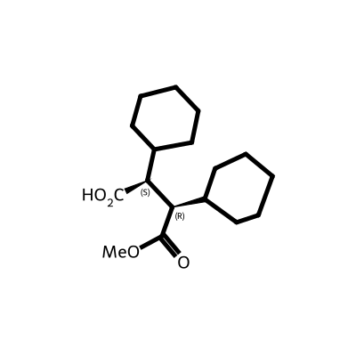 COC(=O)[C@H](C1CCCCC1)[C@@H](C(=O)O)C1CCCCC1